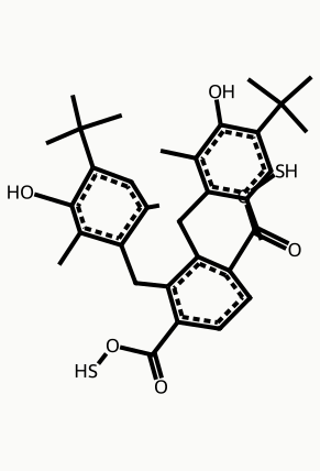 Cc1cc(C(C)(C)C)c(O)c(C)c1Cc1c(C(=O)OS)ccc(C(=O)OS)c1Cc1c(C)cc(C(C)(C)C)c(O)c1C